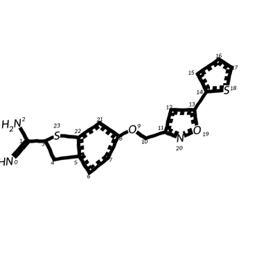 N=C(N)C1Cc2ccc(OCc3cc(-c4cccs4)on3)cc2S1